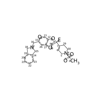 CS(=O)(=O)N1CC=C(C(F)(F)Oc2coc(CN3Cc4ccccc4C3)cc2=O)CC1